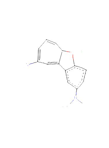 CN(C)c1ccc2c(c1)C1=CC(N)=CC=CC1O2.Cl